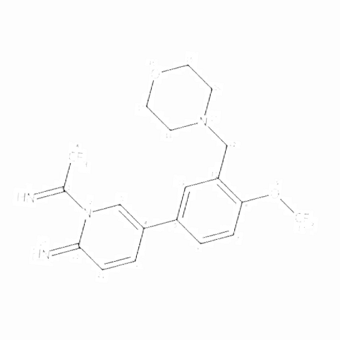 N=C(n1cc(-c2ccc(OC(F)(F)F)c(CN3CCOCC3)c2)ccc1=N)C(F)(F)F